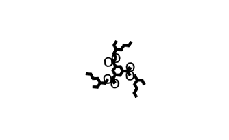 CCCCC(CC)COC(=O)C1CC(C(=O)OCC(CC)CCCC)CC(C(=O)OCC(CC)CCCC)C1